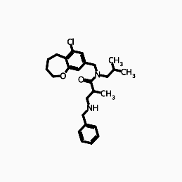 CC(C)CN(Cc1cc(Cl)c2c(c1)OCCCC2)C(=O)C(C)CNCc1ccccc1